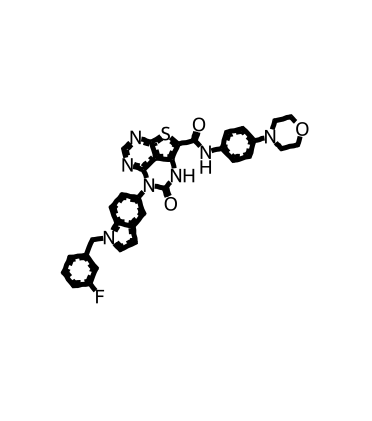 O=C(Nc1ccc(N2CCOCC2)cc1)c1sc2ncnc3c2c1NC(=O)N3c1ccc2c(ccn2Cc2cccc(F)c2)c1